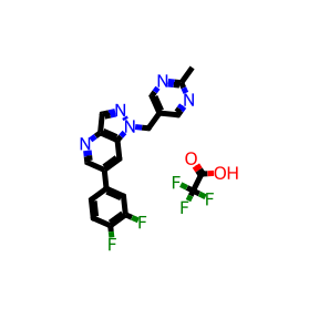 Cc1ncc(Cn2ncc3ncc(-c4ccc(F)c(F)c4)cc32)cn1.O=C(O)C(F)(F)F